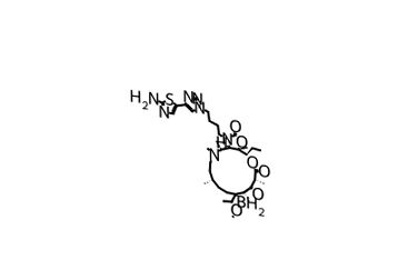 B[C@@]1(C(C)OC)CC[C@H](C)CCN(C)[C@@H](C)[C@H]2N(CCCCn3cc(-c4cnc(N)s4)nn3)C(=O)O[C@]2(C)[C@@H](CC)OC(=O)[C@H](C)C(=O)[C@@H]1C